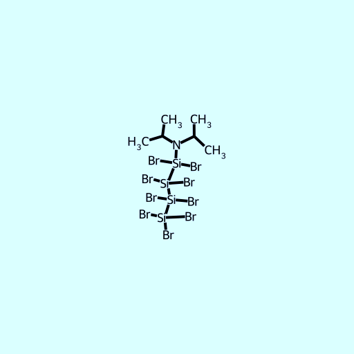 CC(C)N(C(C)C)[Si](Br)(Br)[Si](Br)(Br)[Si](Br)(Br)[Si](Br)(Br)Br